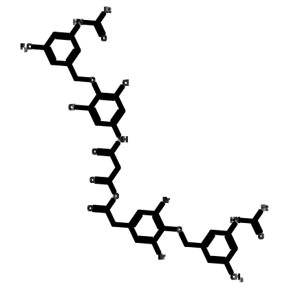 CCC(=O)Nc1cc(C)cc(COc2c(Br)cc(CC(=O)OC(=O)CC(=O)Nc3cc(Cl)c(OCc4cc(NC(=O)CC)cc(C(F)(F)F)c4)c(Cl)c3)cc2Br)c1